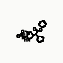 CN1CC(C(C(=O)Oc2ccccc2)c2ccccc2)CNC1=N[N+](=O)[O-]